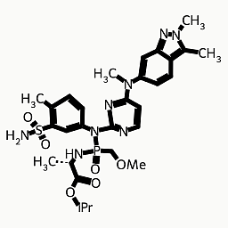 COCP(=O)(N[C@@H](C)C(=O)OC(C)C)N(c1ccc(C)c(S(N)(=O)=O)c1)c1nccc(N(C)c2ccc3c(C)n(C)nc3c2)n1